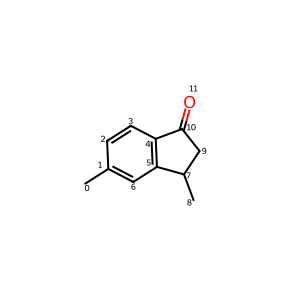 Cc1ccc2c(c1)C(C)CC2=O